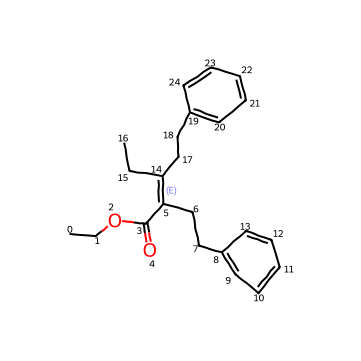 CCOC(=O)/C(CCc1ccccc1)=C(\CC)CCc1ccccc1